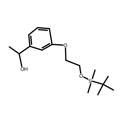 CC(O)c1cccc(OCCO[Si](C)(C)C(C)(C)C)c1